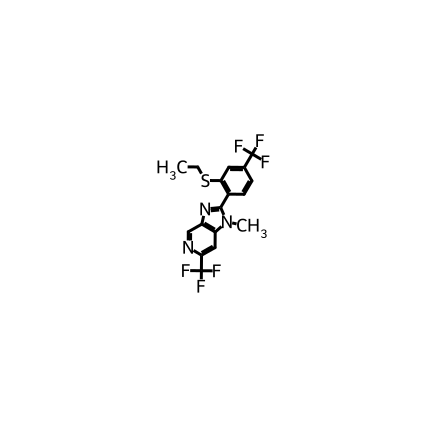 CCSc1cc(C(F)(F)F)ccc1-c1nc2cnc(C(F)(F)F)cc2n1C